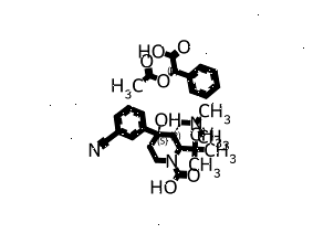 CC(=O)O[C@@H](C(=O)O)c1ccccc1.CN(C)C[C@@H]1C(C(C)(C)C)N(C(=O)O)CC[C@@]1(O)c1cccc(C#N)c1